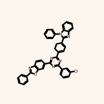 Clc1cccc(-c2nc(C3=CC=C(c4nc5ccccc5n4-c4ccccc4)CC3)nc(-c3ccc4nc(-c5ccccc5)oc4c3)n2)c1